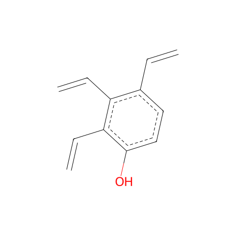 C=Cc1ccc(O)c(C=C)c1C=C